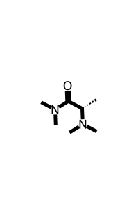 C[C@@H](C(=O)N(C)C)N(C)C